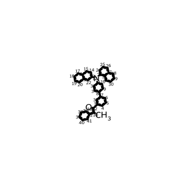 Cc1c(-c2cccc(-c3ccc(N(c4ccc5ccccc5c4)c4cccc5ccccc45)cc3)c2)oc2ccccc12